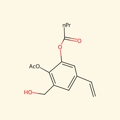 C=Cc1cc(CO)c(OC(C)=O)c(OC(=O)CCC)c1